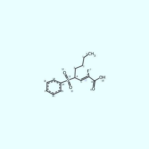 CCCCC(/C=C(\F)C(=O)O)S(=O)(=O)c1ccccc1